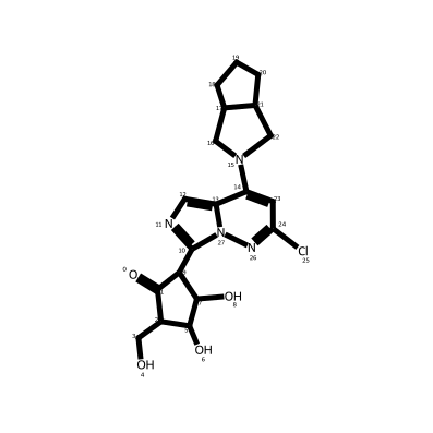 O=C1C(CO)C(O)C(O)C1c1ncc2c(N3CC4CCCC4C3)cc(Cl)nn12